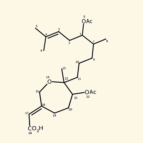 CC(=O)OC(CC=C(C)C)C(C)CCCC1(C)OC/C(=C/C(=O)O)CCC1OC(C)=O